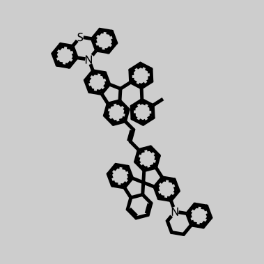 Cc1ccccc1-c1ccccc1C1c2cc(/C=C/c3ccc4c(c3)C3(c5cc(N6CCCc7ccccc76)ccc5-4)c4ccccc4C4C=CC=CC43)ccc2-c2ccc(N3c4ccccc4Sc4ccccc43)cc21